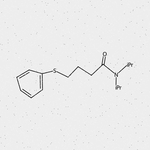 CC(C)N(C(=O)CCCSc1ccccc1)C(C)C